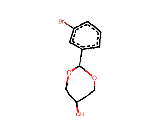 OC1COC(c2cccc(Br)c2)OC1